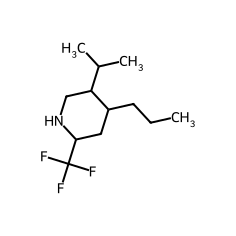 CCCC1CC(C(F)(F)F)NCC1C(C)C